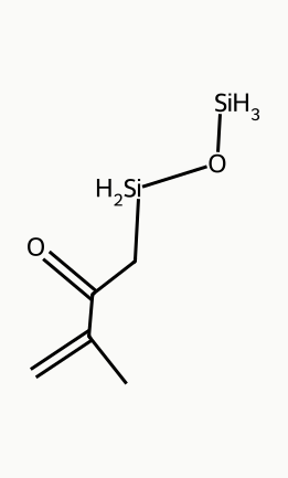 C=C(C)C(=O)C[SiH2]O[SiH3]